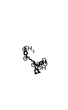 COc1ccc(C(=O)CCCCCC(=O)N[C@H](CN(CC2CC2)CC2CC2)[C@H](O)c2ccc3c(c2)OCCO3)cc1